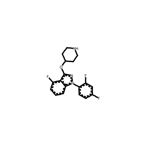 Fc1ccc(-n2nc(OC3CCNCC3)c3c(F)cccc32)c(F)c1